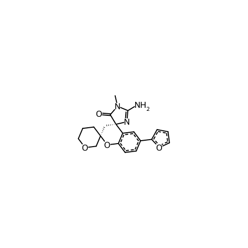 CN1C(=O)[C@@]2(C[C@]3(CCCOC3)Oc3ccc(-c4ccco4)cc32)N=C1N